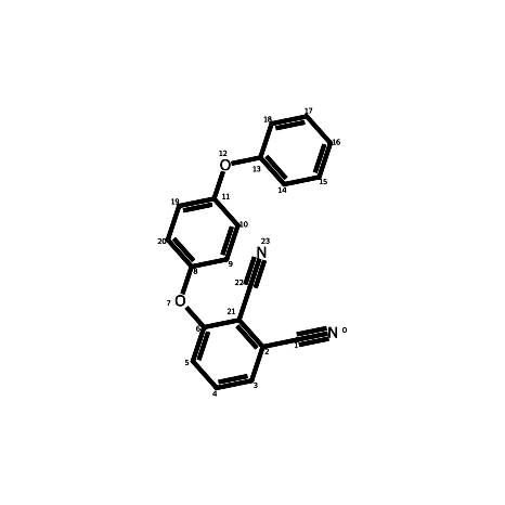 N#Cc1cccc(Oc2ccc(Oc3ccccc3)cc2)c1C#N